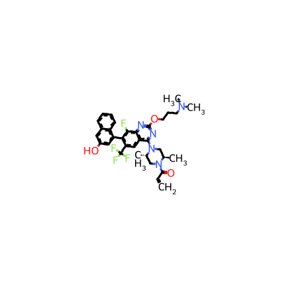 C=CC(=O)N1C[C@H](C)N(c2nc(OCCCN(C)C)nc3c(F)c(-c4cc(O)cc5ccccc45)c(C(F)(F)F)cc23)C[C@H]1C